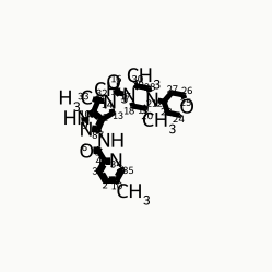 Cc1ccc(C(=O)Nc2n[nH]c3c2CN(C(=O)N2C[C@@H](C)N(C4CCOCC4)C[C@@H]2C)C3(C)C)nc1